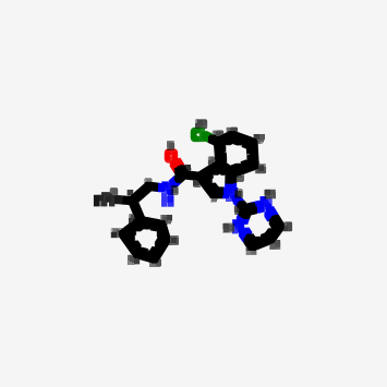 CCCC(CNC(=O)c1cn(-c2ncccn2)c2cccc(Cl)c12)c1ccccc1